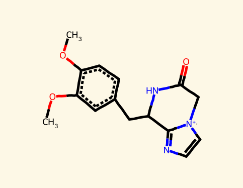 COc1ccc(CC2NC(=O)C[N+]3C=CN=C23)cc1OC